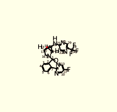 O=C(c1ccccc1-c1ncc(F)cn1)N1C[C@H]2C[C@@H](Nc3cnc(C(F)(F)F)cn3)[C@@H]1C2